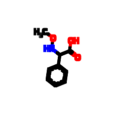 CONC(C(=O)O)c1ccccc1